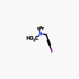 CCCN(CC#CI)C(=O)O